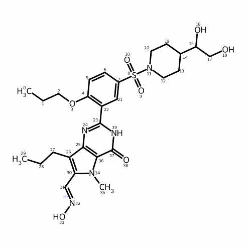 CCCOc1ccc(S(=O)(=O)N2CCC(C(O)CO)CC2)cc1-c1nc2c(CCC)c(/C=N/O)n(C)c2c(=O)[nH]1